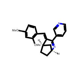 COc1ccc(/C=C2/C(c3cccnc3)=N[C@H]3CC[C@@H]2C3)c(OC)c1